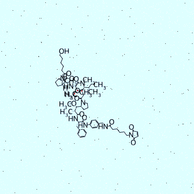 CC[C@H](C)[C@@H]([C@@H](CC(=O)N1CCC[C@H]1[C@H](OC)[C@@H](C)C(=O)N[C@@H](Cc1ccccc1)C(=O)Nc1ccc(CNC(=O)CCCCCN2C(=O)C=CC2=O)cc1)OC)N(C)C(=O)[C@@H](NC(=O)[C@@H]1[C@H]2CCC([C@H]2C)N1C(=O)CCCCCO)C(C)C